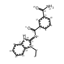 CCn1/c(=N/C(=O)c2cccc(C(N)=O)c2)[nH]c2ccccc21